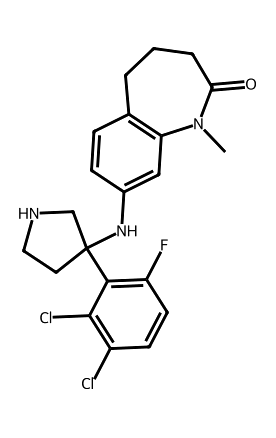 CN1C(=O)CCCc2ccc(NC3(c4c(F)ccc(Cl)c4Cl)CCNC3)cc21